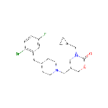 O=C1OCC(CN2CCC(Cc3cc(F)ccc3Br)CC2)CN1CC1CC1